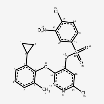 Cc1cccc(C2CC2)c1Oc1nnc(Cl)cc1OS(=O)(=O)c1ccc(Cl)c([N+](=O)[O-])c1